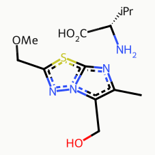 CC(C)[C@H](N)C(=O)O.COCc1nn2c(CO)c(C)nc2s1